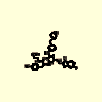 COCCNC(=O)C(Cc1ccc(C#N)cc1)Nc1nc(NCc2nc3cc(F)ccc3[nH]2)nc(Nc2cccc(CN3CCNCC3)c2)n1